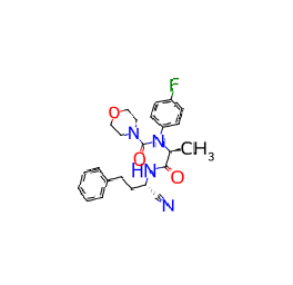 C[C@@H](C(=O)N[C@H](C#N)CCc1ccccc1)N(C(=O)N1CCOCC1)c1ccc(F)cc1